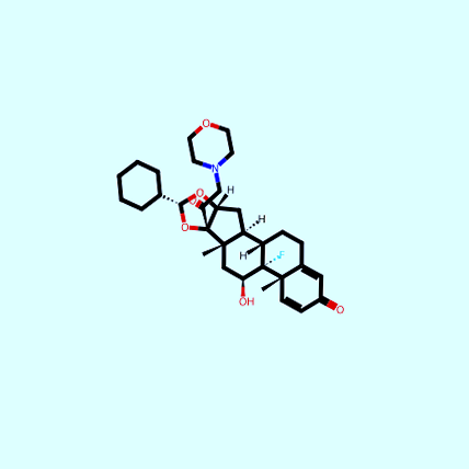 C[C@]12C=CC(=O)C=C1CC[C@H]1[C@@H]3C[C@H]4O[C@@H](C5CCCCC5)O[C@@]4(C(=O)CN4CCOCC4)[C@@]3(C)C[C@H](O)[C@@]12F